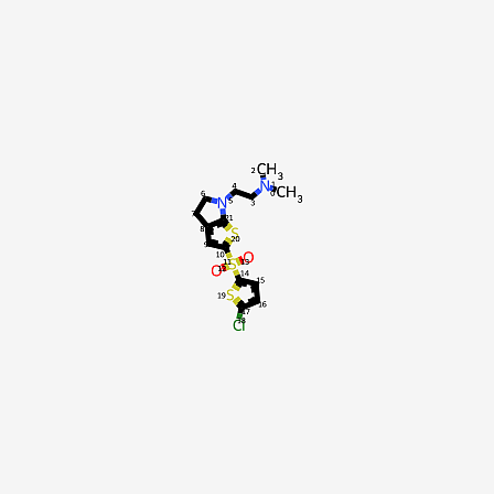 CN(C)CCN1CCc2cc(S(=O)(=O)c3ccc(Cl)s3)sc21